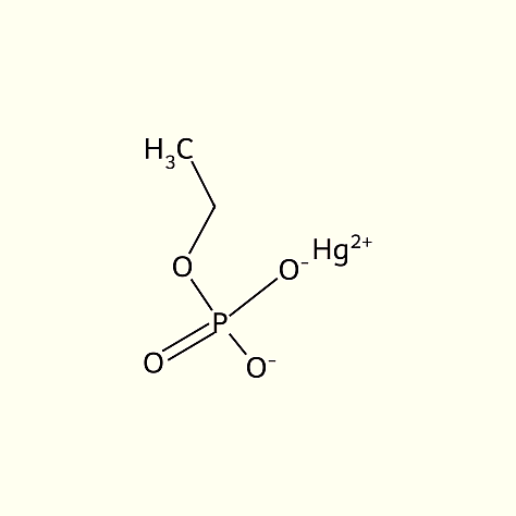 CCOP(=O)([O-])[O-].[Hg+2]